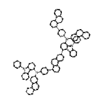 c1ccc(-n2c3ccccc3c3c(N(c4ccc(-c5cccc6c5ccc5cc(-c7ccc(N(c8ccc(-c9cccc%10c9ccc9ccccc9%10)cc8)c8ccc9c(ccc%10ccccc%109)c8)c8c7c7ccccc7n8-c7ccccc7)ccc56)cc4)c4ccc5c(ccc6ccccc65)c4)cccc32)cc1